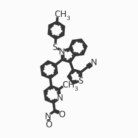 Cc1ccc(Sn2c(-c3cccc(-c4ccc(C(=O)N=O)nc4C)c3)c(-c3ccsc3C#N)c3ccccc32)cc1